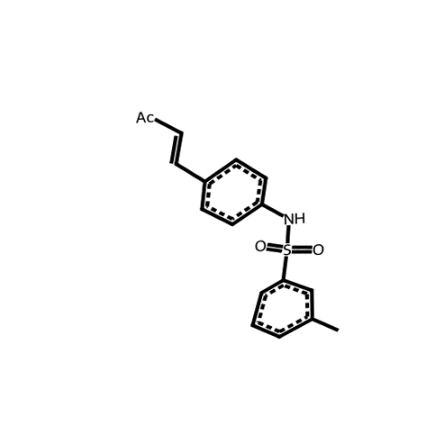 CC(=O)/C=C/c1ccc(NS(=O)(=O)c2cccc(C)c2)cc1